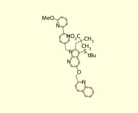 COc1cccc(-c2ccc(Cn3c(CC(C)(C)C(=O)O)c(SC(C)(C)C)c4cc(OCc5ccc6ccccc6n5)cnc43)cc2)n1